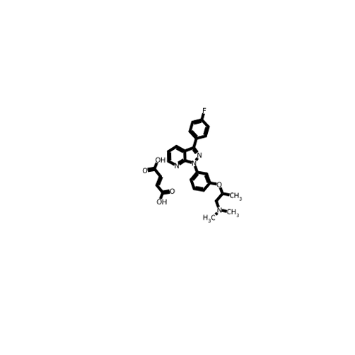 CC(CN(C)C)Oc1cccc(-n2nc(-c3ccc(F)cc3)c3cccnc32)c1.O=C(O)/C=C/C(=O)O